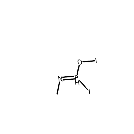 CN=[PH](I)OI